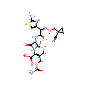 N#CC1(CO/N=C(\C(=O)N[C@@H]2C(=O)N3C(C(=O)O)=C(COC(N)=O)CS[C@H]23)c2csc(N)n2)CC1